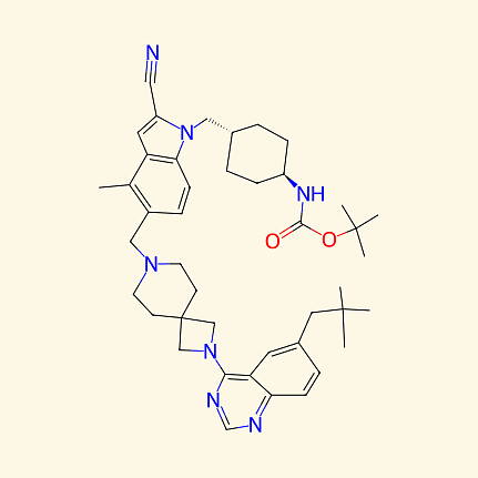 Cc1c(CN2CCC3(CC2)CN(c2ncnc4ccc(CC(C)(C)C)cc24)C3)ccc2c1cc(C#N)n2C[C@H]1CC[C@H](NC(=O)OC(C)(C)C)CC1